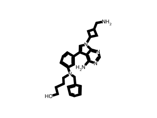 NCC1CC(n2cc(-c3cccc(N(CCCCO)Cc4ccccc4)c3)c3c(N)ncnc32)C1